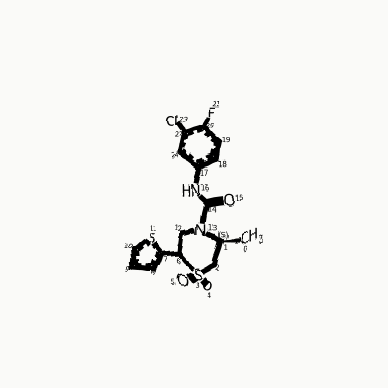 C[C@H]1CS(=O)(=O)C(c2cccs2)CN1C(=O)Nc1ccc(F)c(Cl)c1